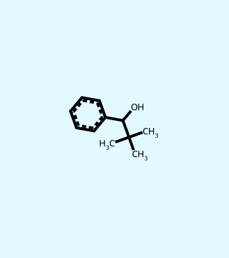 CC(C)(C)[C](O)c1ccccc1